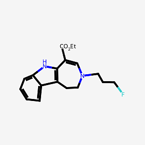 CCOC(=O)C1=CN(CCCF)CCc2c1[nH]c1ccccc21